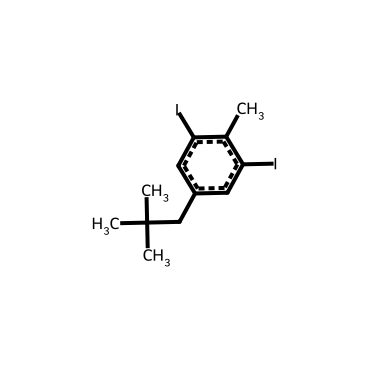 Cc1c(I)cc(CC(C)(C)C)cc1I